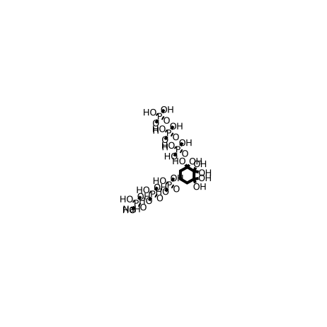 O=P(O)(O)O.O=P(O)(O)O.O=P(O)(O)O.O=P(O)(O)O.O=P(O)(O)O.O=P(O)(O)O.OC1(O)CCCC(O)(O)C1(O)O.[NaH]